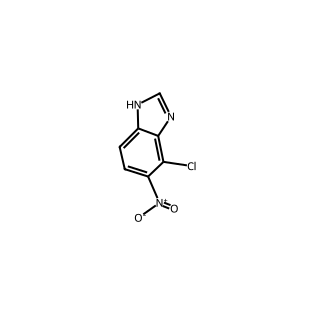 O=[N+]([O-])c1ccc2[nH]cnc2c1Cl